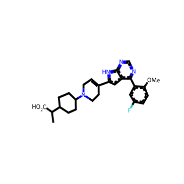 COc1ccc(F)cc1-c1ncnc2[nH]c(C3=CCN(C4CCC(C(C)C(=O)O)CC4)CC3)cc12